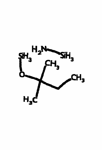 CCC(C)(C)O[SiH3].N[SiH3]